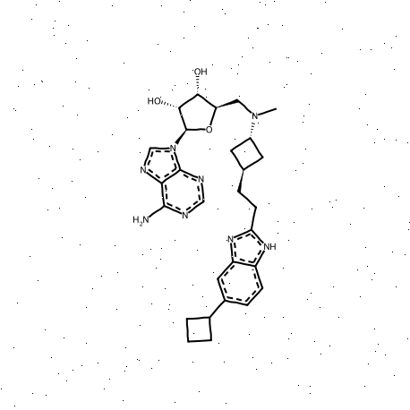 CN(C[C@H]1O[C@@H](n2cnc3c(N)ncnc32)[C@H](O)[C@@H]1O)[C@H]1C[C@H](CCc2nc3cc(C4CCC4)ccc3[nH]2)C1